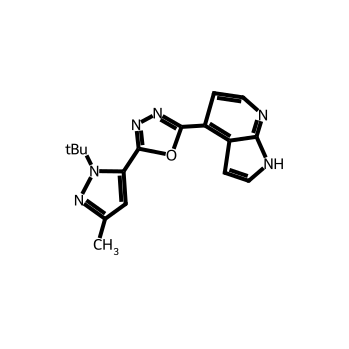 Cc1cc(-c2nnc(-c3ccnc4[nH]ccc34)o2)n(C(C)(C)C)n1